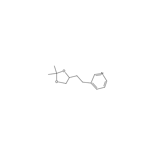 CC1(C)OCC(CCc2cccnc2)O1